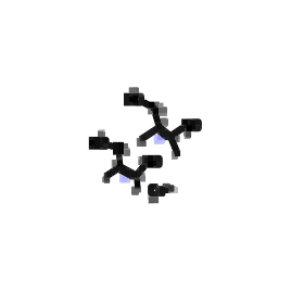 C/C(N=O)=C(\C)[N-]O.C/C(N=O)=C(\C)[N-]O.[Co+2]